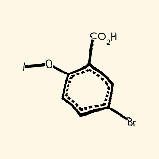 O=C(O)c1cc(Br)ccc1OI